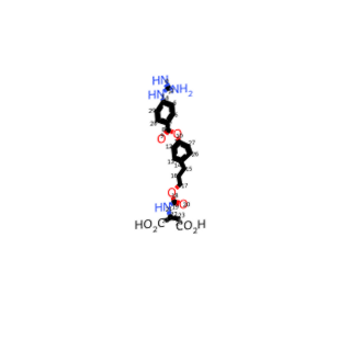 N=C(N)Nc1ccc(C(=O)Oc2ccc(CCCOC(=O)NC(CC(=O)O)C(=O)O)cc2)cc1